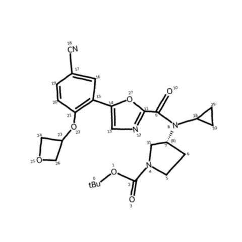 CC(C)(C)OC(=O)N1CC[C@@H](N(C(=O)c2ncc(-c3cc(C#N)ccc3OC3COC3)o2)C2CC2)C1